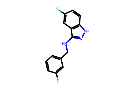 Fc1cccc(CNc2n[nH]c3ccc(F)cc23)c1